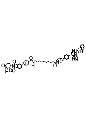 O=C1CCC(N2C(=O)c3ccc(N4CCC(C(=O)NCCCCCCCCCC(=O)N5CCN(c6ccc(-c7cnc(NCc8ccco8)n8cnnc78)cc6)CC5)CC4)cc3C2=O)C(=O)N1